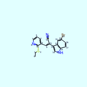 CCSc1ncccc1C=C(C#N)c1c[nH]c2ccc(Br)cc12